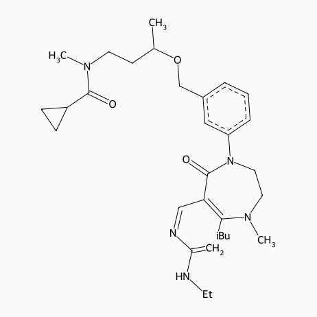 C=C(/N=C\C1=C(C(C)CC)N(C)CCN(c2cccc(COC(C)CCN(C)C(=O)C3CC3)c2)C1=O)NCC